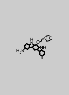 Bc1ccc2[nH]c3c(OCCN4CCOCC4)c4[nH]c5ccc(C)cc5c4cc3c2c1